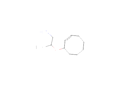 CC(CN)OC1/C=C\CCCCC1